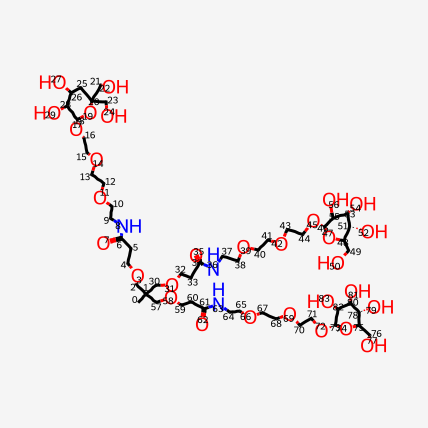 CC(COCCC(=O)NCCOCCOCCO[C@H]1OC(CO)(CO)CC(O)C1O)(COCCC(=O)NCCOCCOCCO[C@H]1OC(CO)[C@@H](O)C(O)C1O)COCCC(=O)NCCOCCOCCO[C@H]1OC(CO)[C@@H](O)C(O)C1O